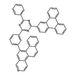 c1ccc(-c2nc(-c3cccc(-c4cc5cnccc5c5ccc6ccccc6c45)c3)nc(-c3ccc4c5ccccc5c5ccccc5c4c3)n2)cc1